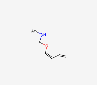 C=C/C=C\OCNC(C)=O